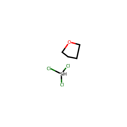 C1CCOC1.Cl[SiH](Cl)Cl